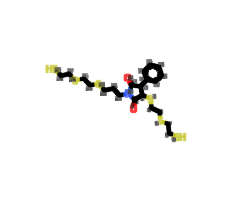 O=C1C(SCCSCCS)C(c2ccccc2)C(=O)N1CCCSCCSCCS